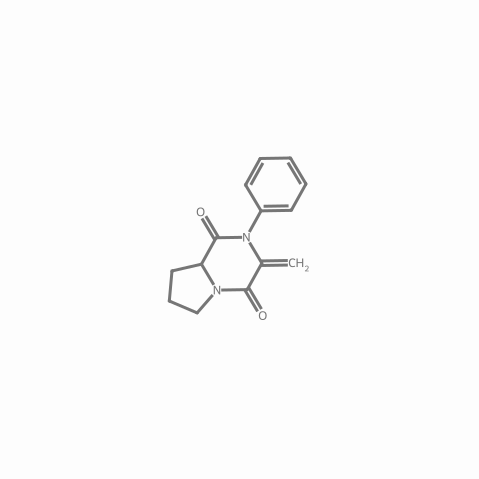 C=C1C(=O)N2CCCC2C(=O)N1c1ccccc1